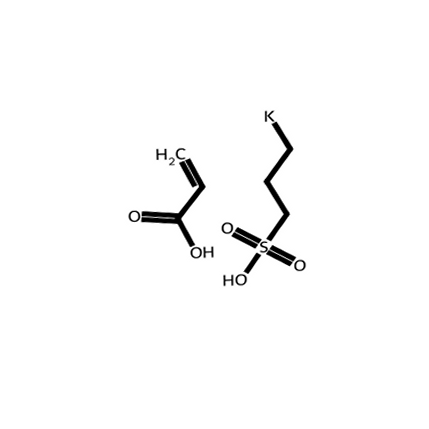 C=CC(=O)O.O=S(=O)(O)CC[CH2][K]